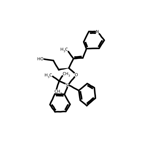 CC(=Cc1ccncc1)[C@H](CCO)O[Si](c1ccccc1)(c1ccccc1)C(C)(C)C